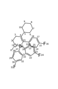 C[O+]1CCC(C2CCCCC2)=C(c2ccc(F)cc2)[B-]1(c1ccc(F)cc1)c1ccc(F)cc1